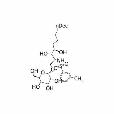 CCCCCCCCCCCCCC[C@@H](O)[C@@H](O)[C@H](CO[C@@H]1O[C@H](CO)[C@H](O)[C@H](O)[C@H]1O)NS(=O)(=O)c1cccc(C)c1